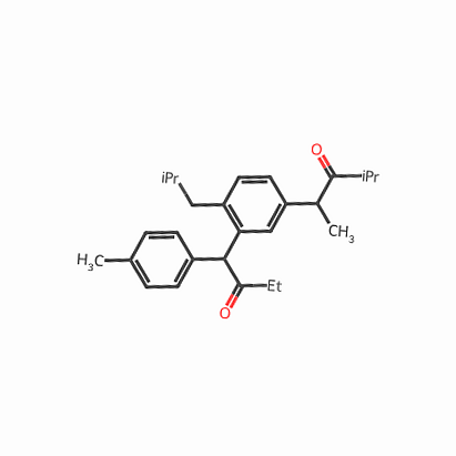 CCC(=O)C(c1ccc(C)cc1)c1cc(C(C)C(=O)C(C)C)ccc1CC(C)C